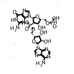 Nc1nc2c(ncn2[C@@H]2O[C@H](CO[PH](=O)O)[C@H](O)[C@H]2P(=O)(O)OC[C@H]2O[C@@H](n3cnc4c(N)ncnc43)[C@H](O)[C@@H]2O)c(=O)[nH]1